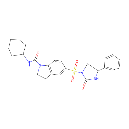 O=C(NC1CCCCC1)N1CCc2cc(S(=O)(=O)N3CC(c4ccccc4)NC3=O)ccc21